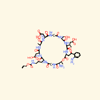 C=CCOC(=O)NCCCC1NC(=O)CNC(=O)C(N)C(C)OC(=O)C(CC(=O)c2ccccc2N)NC(=O)C(C(C)CC(=O)O)NC(=O)C(CO)NC(=O)CNC(=O)C(CC(=O)O)NC(=O)C(C)NC(=O)C(CC(=O)O)NC1=O